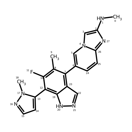 CNc1cn2cc(-c3c(C)c(F)c(-c4ccnn4C)c4[nH]ncc34)ccc2n1